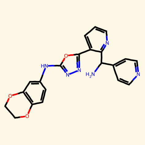 NC(c1ccncc1)c1ncccc1-c1nnc(Nc2ccc3c(c2)OCCO3)o1